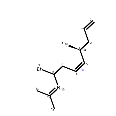 C=CC[C@H](F)/C=C\CC(CC)N=C(C)C